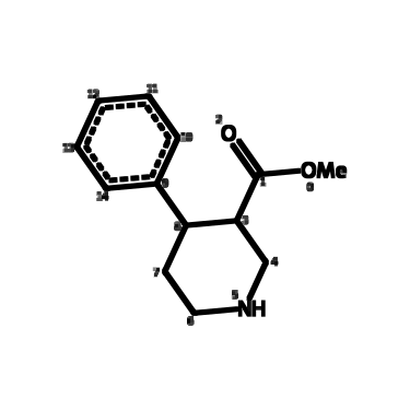 COC(=O)C1CNCCC1c1ccccc1